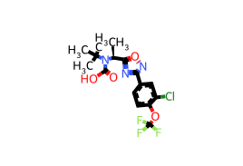 C[C@@H](c1nc(-c2ccc(OC(F)(F)F)c(Cl)c2)no1)N(C(=O)O)C(C)(C)C